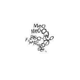 COc1cc2c(cc1OC)C1C(c3ccc(OS(=O)(=O)C(F)(F)F)c(OC)c3)c3c(c(=O)oc4cc(OS(=O)(=O)C(F)(F)F)c(OC)cc34)N1C=C2